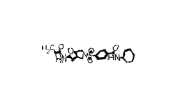 C=CC(=O)Nc1cc2c(o1)CN(S(=O)(=O)c1ccc(C(=O)NC3CCCCC3)cc1)C2